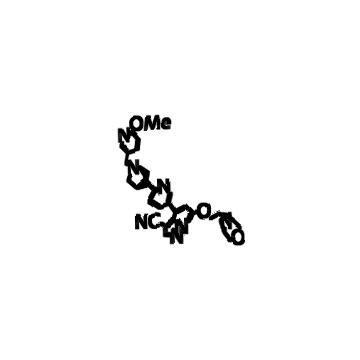 COc1ccc(CN2CC3CCC2CC3c2ccc(-c3cc(OCCN4C5CCC4COC5)cn4ncc(C#N)c34)cn2)cn1